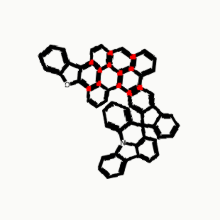 c1ccc(-c2cccc3ccccc23)c(-c2ccccc2N(c2ccc3c(c2)C2(c4ccccc4-3)c3ccccc3-n3c4ccccc4c4cccc2c43)c2ccccc2-c2ccc3oc4ccccc4c3c2)c1